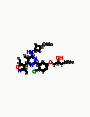 CNC[C@H](O)COc1ccc(Cl)c(-c2nc(N[C@H]3C[C@@H](OC)C3)c(C)c(-c3c(C)noc3C)n2)c1